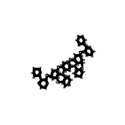 c1ccc(-c2ccccc2Oc2cc3c4c(c2)Sc2ccccc2B4c2cc4c(cc2O3)Oc2cc(Oc3ccccc3-c3ccccc3)cc3c2B4c2ccccc2S3)cc1